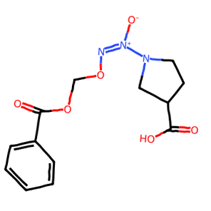 O=C(OCO/N=[N+](/[O-])N1CCC(C(=O)O)C1)c1ccccc1